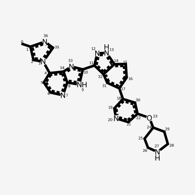 Cc1cn(-c2ccnc3[nH]c(-c4n[nH]c5ccc(-c6cncc(OC7CCNCC7)c6)cc45)nc23)cn1